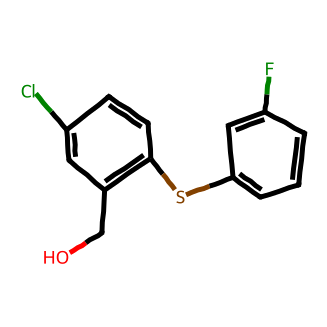 OCc1cc(Cl)ccc1Sc1cccc(F)c1